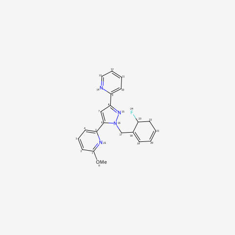 COc1cccc(-c2cc(-c3ccccn3)nn2CC2=CC=CCC2F)n1